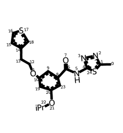 Cc1nnc(NC(=O)c2cc(OCCc3ccsc3)cc(OC(C)C)c2)s1